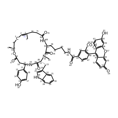 C/C1=C\CC[C@H](C)OC(=O)C[C@H](c2ccc(O)cc2)NC(=O)[C@@H](Cc2c[nH]c3ccccc23)N(C)C(=O)[C@H](CCCCNC(=O)c2ccc(-c3c4ccc(=O)cc-4oc4cc(O)ccc34)c(C(=O)O)c2)NC(=O)CC1